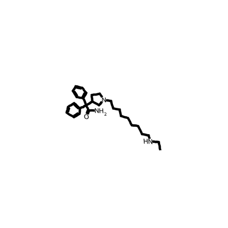 CCNCCCCCCCCCN1CCC(C(C(N)=O)(c2ccccc2)c2ccccc2)C1